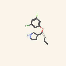 CCC[C@@H](Oc1cc(F)cc(Cl)c1)C1CCNC1